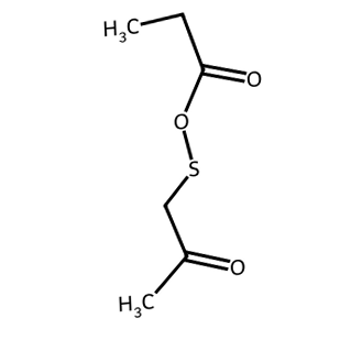 CCC(=O)OSCC(C)=O